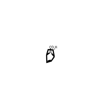 O=C(O)N1C2C=CC1CC2